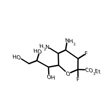 CCOC(=O)C1(F)OC(C(O)C(O)CO)C(N)C(N)C1F